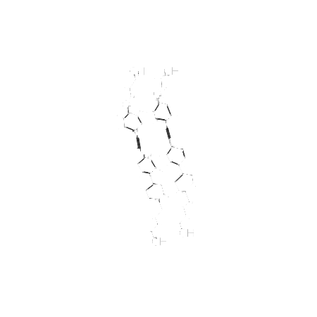 CCCCCC1CC=C(c2ccc(C#Cc3ccc(OCCC)cc3)cc2)CC1.CCCCCC1CC=C(c2ccc(C#Cc3ccc(OCCCC)cc3)cc2)CC1